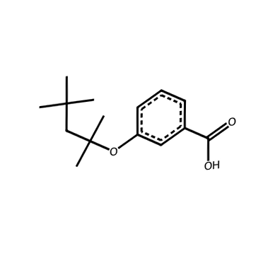 CC(C)(C)CC(C)(C)Oc1cccc(C(=O)O)c1